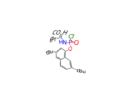 CC(C)C(NP(=O)(Cl)Oc1cc(C(C)(C)C)cc2ccc(C(C)(C)C)cc12)C(=O)O